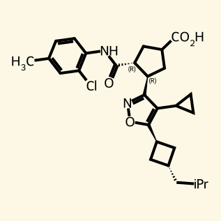 Cc1ccc(NC(=O)[C@@H]2CC(C(=O)O)C[C@H]2c2noc([C@H]3C[C@H](CC(C)C)C3)c2C2CC2)c(Cl)c1